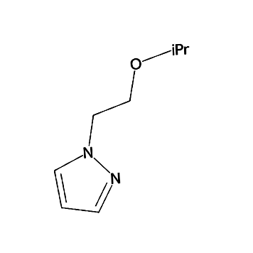 CC(C)OCCn1cccn1